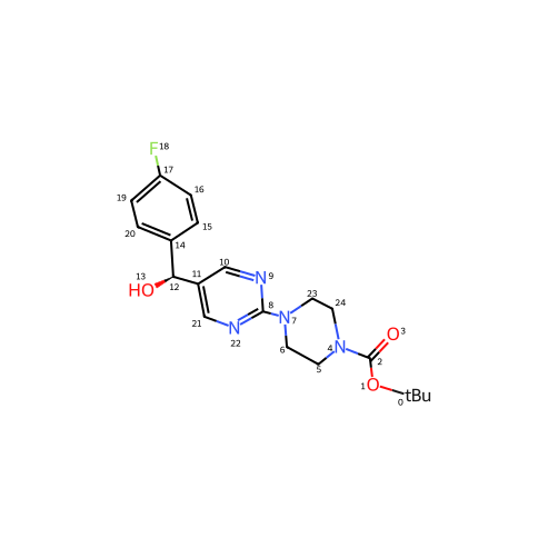 CC(C)(C)OC(=O)N1CCN(c2ncc([C@@H](O)c3ccc(F)cc3)cn2)CC1